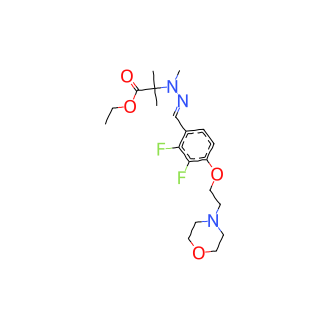 CCOC(=O)C(C)(C)N(C)N=Cc1ccc(OCCN2CCOCC2)c(F)c1F